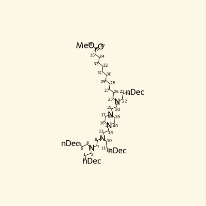 CCCCCCCCCCCCN(CCCCCCCCCCCC)CCN(CCCCCCCCCCCC)CCN1CCN(CCN(CCCCCCCCCCCC)CCCCCCCCCCCC(=O)OC)CC1